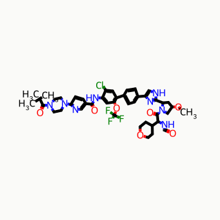 COC1CC(c2nc(-c3ccc(-c4cc(Cl)c(NC(=O)c5ccc(N6CCN(C(=O)C(C)(C)C)CC6)nc5)cc4OC(F)(F)F)cc3)c[nH]2)N(C(=O)C(NC=O)C2CCOCC2)C1